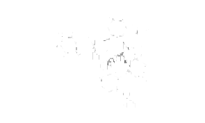 CC(C)Oc1cccc(OC(C)C)c1-c1cccc2cn(-c3c(C(C)C)cccc3C(C)C)[c](=[Pd-2]([Cl])[CH2]C=Cc3ccccc3)n12